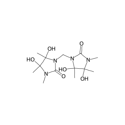 CN1C(=O)N(CN2C(=O)N(C)C(C)(O)C2(C)O)C(C)(O)C1(C)O